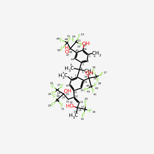 Cc1cc(C(C)(C)c2c(C)cc(/C(=C/C(C)(O)C(F)(F)F)CC(O)(C(F)(F)F)C(F)(F)F)cc2C(O)(C(F)(F)F)C(F)(F)F)cc(C(O)(C(F)(F)F)C(F)(F)F)c1O